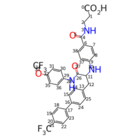 O=C(O)CCNC(=O)c1ccc(NC(Cc2ccc(-c3ccc(C(F)(F)F)cc3)cc2)C(=O)Nc2ccc(OC(F)(F)F)cc2)cc1